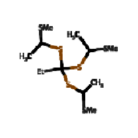 CCC(SC(C)SC)(SC(C)SC)SC(C)SC